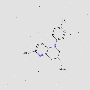 COc1ccc2c(n1)CC(CNC(C)=O)CN2c1ccc(C(F)(F)F)cc1